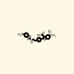 CC1(C)CCc2sc(-c3ccc(CCNc4nc5ccc(N)cc5s4)cc3)c(C(=O)O)c2C1